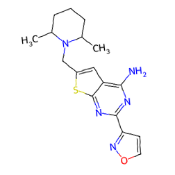 CC1CCCC(C)N1Cc1cc2c(N)nc(-c3ccon3)nc2s1